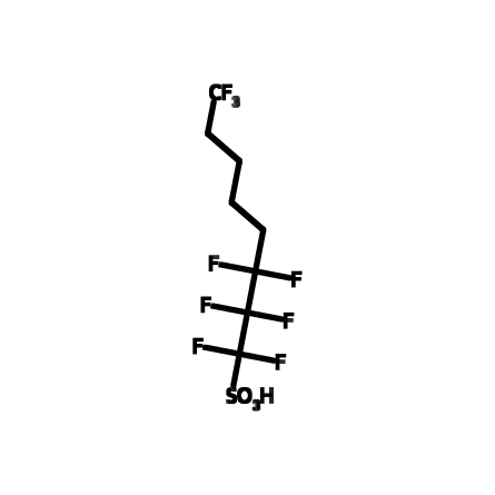 O=S(=O)(O)C(F)(F)C(F)(F)C(F)(F)CCCCC(F)(F)F